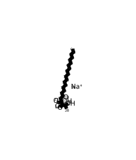 CCCCCCCCCCCCCCCCCC(=O)CC(O)(C(=O)[O-])C(=O)C(C)O.[Na+]